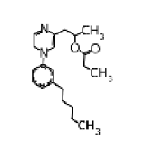 CCCCCc1cccc(N2C=C(CC(C)OC(=O)CC)N=CC2)c1